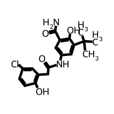 CC(C)(C)c1cc(NC(=O)Cc2cc(Cl)ccc2O)cc(C(N)=O)c1O